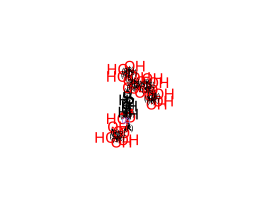 C[C@H](C/C=C1\O[C@H]2C[C@H]3[C@@H]4CC=C5C[C@@H](O[C@@H]6O[C@H](CO)[C@@H](O[C@@H]7O[C@@H](C)[C@H](O[C@@H]8O[C@@H](C)[C@H](O)[C@@H](O)[C@H]8O)[C@@H](O)[C@H]7O)[C@H](O)[C@H]6O[C@@H]6O[C@@H](C)[C@H](O)[C@@H](O)[C@H]6O)CC[C@]5(C)[C@H]4CC[C@]3(C)[C@H]2[C@@]1(C)O)CO[C@@H]1O[C@H](CO)[C@@H](O)[C@H](O)[C@H]1O